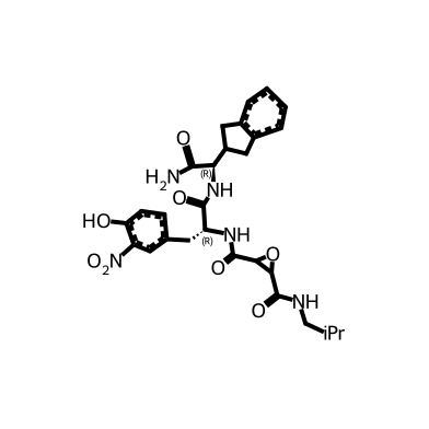 CC(C)CNC(=O)C1OC1C(=O)N[C@H](Cc1ccc(O)c([N+](=O)[O-])c1)C(=O)N[C@@H](C(N)=O)C1Cc2ccccc2C1